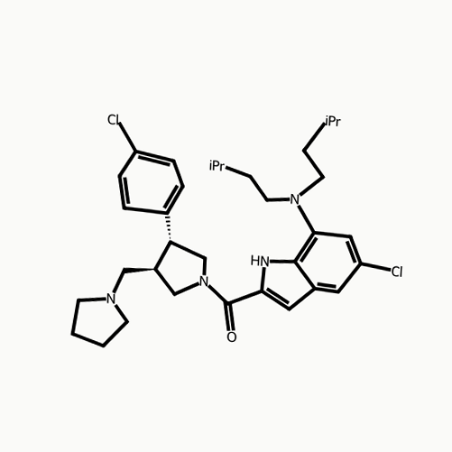 CC(C)CCN(CCC(C)C)c1cc(Cl)cc2cc(C(=O)N3C[C@@H](CN4CCCC4)[C@H](c4ccc(Cl)cc4)C3)[nH]c12